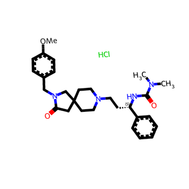 COc1ccc(CN2CC3(CCN(CC[C@H](NC(=O)N(C)C)c4ccccc4)CC3)CC2=O)cc1.Cl